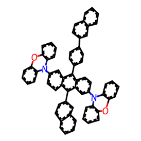 c1ccc2c(c1)Oc1ccccc1N2c1ccc2c(-c3ccc4ccccc4c3)c3cc(N4c5ccccc5Oc5ccccc54)ccc3c(-c3ccc(-c4ccc5ccccc5c4)cc3)c2c1